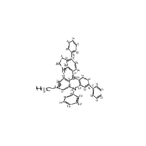 Cc1cc2c3c(c1)N(c1ccccc1)c1cc(-c4ccccc4)ccc1B3c1ccc(-c3ccccc3)c3c1N2CC3